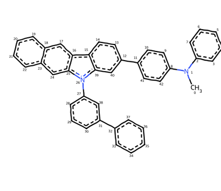 CN(c1ccccc1)c1ccc(-c2ccc3c4cc5ccccc5cc4n(-c4cccc(-c5ccccc5)c4)c3c2)cc1